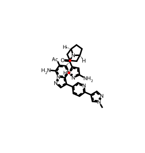 CC(=O)c1c([C@@H]2C[C@H]3CC[C@@H](C2)N3C(=O)c2cc(N)n[nH]2)nc2c(-c3ccc(-c4cnn(C)c4)nc3)cnn2c1N